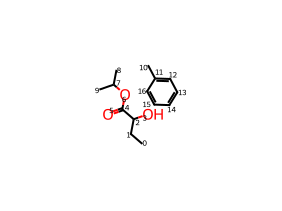 CCC(O)C(=O)OC(C)C.Cc1ccccc1